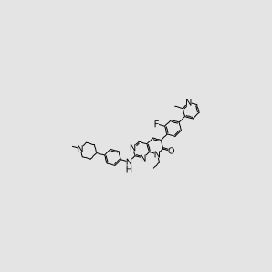 CCn1c(=O)c(-c2ccc(-c3cccnc3C)cc2F)cc2cnc(Nc3ccc(C4CCN(C)CC4)cc3)nc21